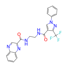 O=C(NCCNC(=O)c1cn(-c2ccccc2)nc1C(F)(F)F)c1cnc2ccccc2n1